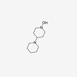 ON1CCC(N2CCCCC2)CC1